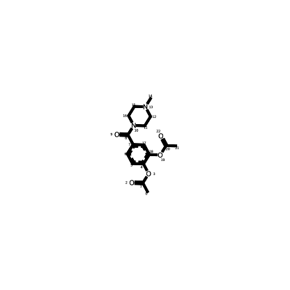 CC(=O)Oc1ccc(C(=O)N2CCN(C)CC2)cc1OC(C)=O